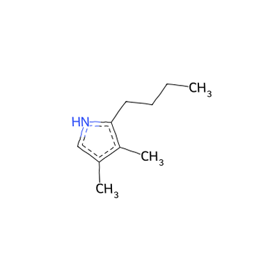 CCCCc1[nH]cc(C)c1C